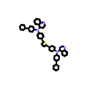 c1ccc(-c2ccc(N(c3ccc(-c4ccc(-c5ccc(N(c6ccc(-c7ccccc7)cc6)c6ccnc7ccccc67)cc5)s4)cc3)c3ccnc4ccccc34)cc2)cc1